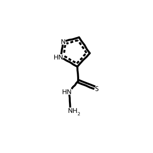 NNC(=S)c1ccn[nH]1